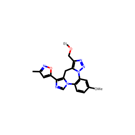 CCOCc1nnn2c1Cc1c(-c3cc(C)no3)ncn1-c1ccc(OC)cc1-2